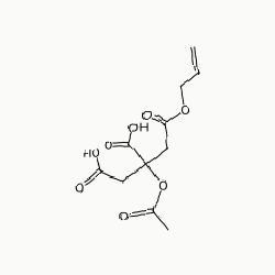 C=CCOC(=O)CC(CC(=O)O)(OC(C)=O)C(=O)O